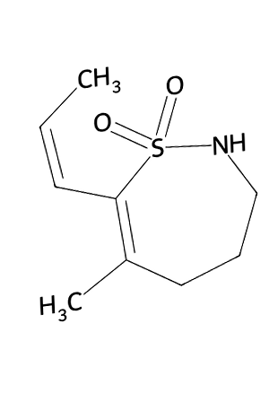 C/C=C\C1=C(C)CCCNS1(=O)=O